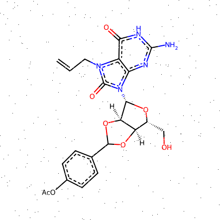 C=CCn1c(=O)n([C@@H]2O[C@H](CO)[C@H]3OC(c4ccc(OC(C)=O)cc4)O[C@H]32)c2nc(N)[nH]c(=O)c21